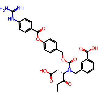 CCC(=O)[C@H](CC(=O)O)N(Cc1cccc(C(=O)O)c1)C(=O)OCc1ccc(OC(=O)c2ccc(NC(=N)N)cc2)cc1